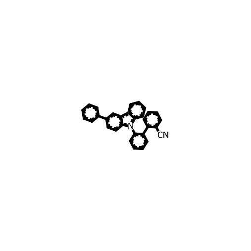 N#Cc1ccccc1-c1ccccc1-n1c2ccccc2c2cc(-c3ccccc3)ccc21